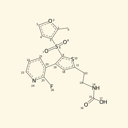 Cc1occc1S(=O)(=O)c1sc(CCNC(=O)O)cc1-c1cccnc1F